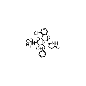 CONC(=O)C(O)C(Cc1ccccc1)N(Cc1ccccc1Cl)C(=O)[C@H]1CCC(=O)N1